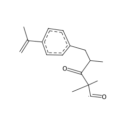 C=C(C)c1ccc(CC(C)C(=O)C(C)(C)[C]=O)cc1